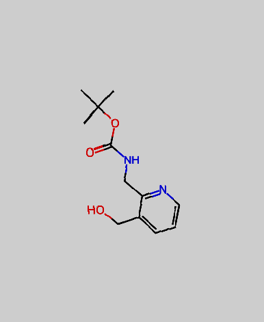 CC(C)(C)OC(=O)NCc1ncccc1CO